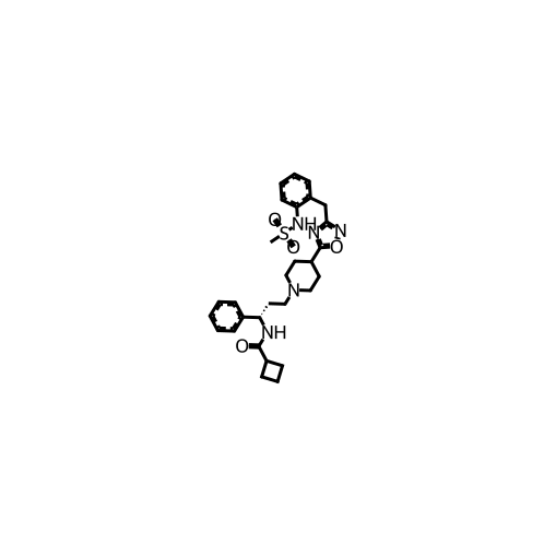 CS(=O)(=O)Nc1ccccc1Cc1noc(C2CCN(CC[C@H](NC(=O)C3CCC3)c3ccccc3)CC2)n1